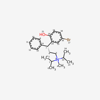 CC(C)[N+](C)(CC[C@H](c1ccccc1)c1cc(Br)ccc1O)C(C)C